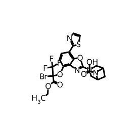 CCOC(=O)C(Br)(Oc1ccc(-c2nccs2)c2oc(N3CC4CC(C3)N4C(=O)O)nc12)C(F)(F)F